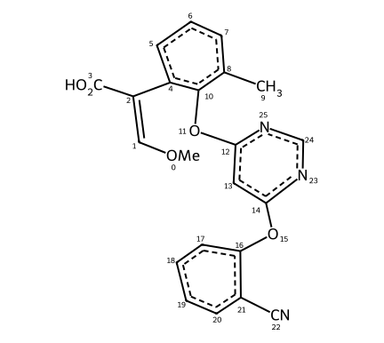 CO/C=C(/C(=O)O)c1cccc(C)c1Oc1cc(Oc2ccccc2C#N)ncn1